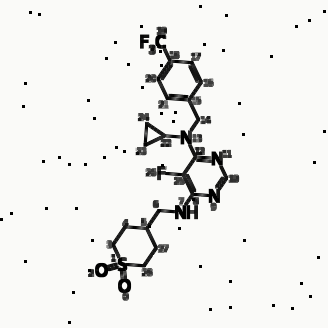 O=S1(=O)CCC(CNc2ncnc(N(Cc3ccc(C(F)(F)F)cc3)C3CC3)c2F)CC1